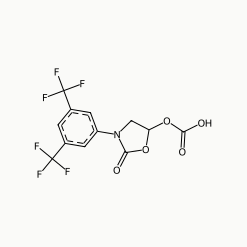 O=C(O)OC1CN(c2cc(C(F)(F)F)cc(C(F)(F)F)c2)C(=O)O1